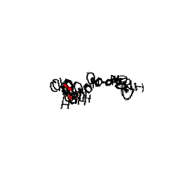 Cn1c(=O)n(C2CCC(=O)NC2=O)c2ccc(C3CCN(C(=O)[C@H]4CC[C@H](NC(=O)[C@@H]5NC6(CCCCC6)[C@@]6(C(=O)Nc7cc(Cl)ccc76)[C@H]5c5cccc(Cl)c5F)CC4)CC3)cc21